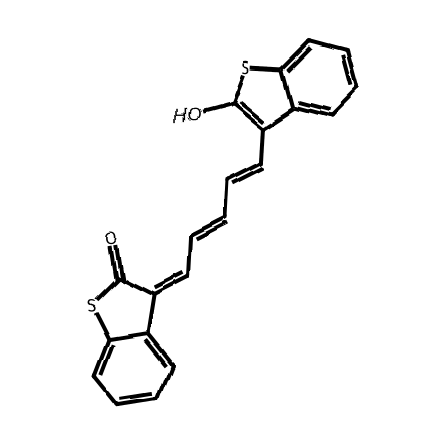 O=C1Sc2ccccc2C1=CC=CC=Cc1c(O)sc2ccccc12